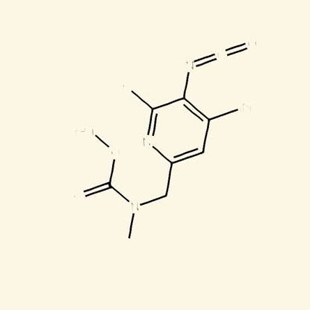 CC(C)c1cc(CN(C)C(=O)OC(C)(C)C)nc(C(C)C)c1N=C=O